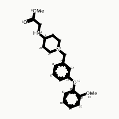 COC(=O)CNC1CCN(Cc2cccc(Oc3ccccc3OC)c2)CC1